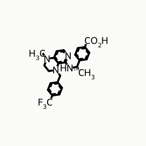 C[C@H](Nc1nccc2c1N(Cc1ccc(C(F)(F)F)cc1)CCN2C)c1ccc(C(=O)O)cc1